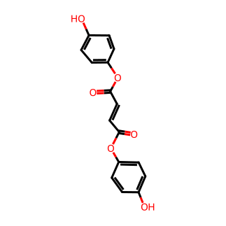 O=C(C=CC(=O)Oc1ccc(O)cc1)Oc1ccc(O)cc1